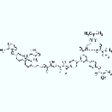 C=C(C)C(=O)OCCN(CCOC(=O)C(=C)C)C(=O)c1cc(-c2ccc(OC(=O)C(=C)C)cc2)cc(-c2ccc(OC(=O)C(=C)C/C=C(\C)C(=O)OCC(COC(=O)C(=C)C)Cc3ccc(-c4ccc(OC(=O)C(=C)C)cc4)cc3)cc2)c1